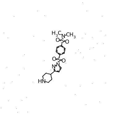 CN(C)S(=O)(=O)c1ccc(S(=O)(=O)n2ccc(C3CCNCC3)n2)cc1